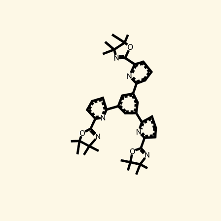 CC1(C)N=C(c2cccc(-c3cc(-c4cccc(C5=NC(C)(C)C(C)(C)O5)n4)cc(-c4cccc(C5=NC(C)(C)C(C)(C)O5)n4)c3)n2)OC1(C)C